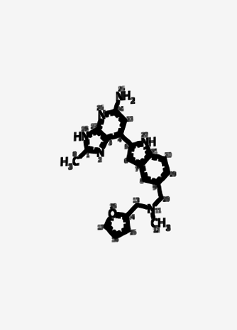 Cc1nc2c(-c3cc4cc(CN(C)Cc5ccco5)ccc4[nH]3)cc(N)nc2[nH]1